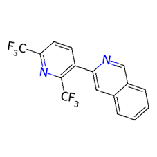 FC(F)(F)c1ccc(-c2cc3ccccc3cn2)c(C(F)(F)F)n1